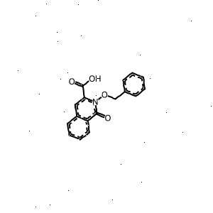 O=C(O)c1cc2ccccc2c(=O)n1OCc1ccccc1